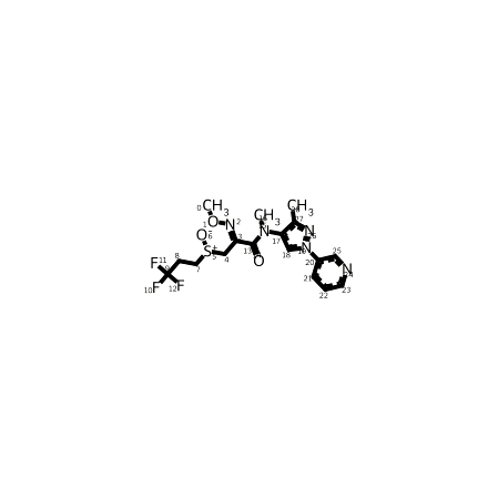 CON=C(C[S+]([O-])CCC(F)(F)F)C(=O)N(C)c1cn(-c2cccnc2)nc1C